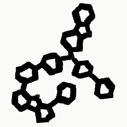 c1ccc(-c2ccc(N(c3ccc(-c4cccc(-c5cccc6c5sc5c(-c7ccccc7)cccc56)c4)cc3)c3ccc4c(c3)oc3ccccc34)cc2)cc1